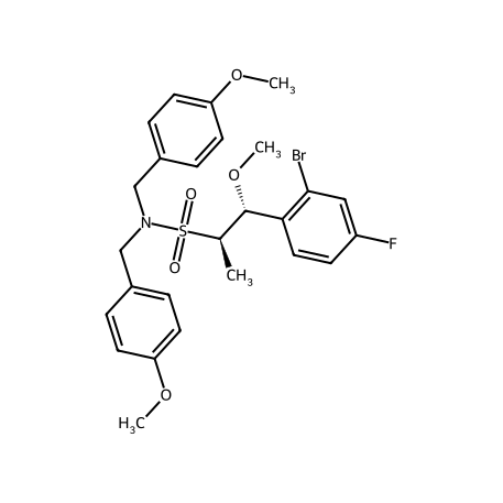 COc1ccc(CN(Cc2ccc(OC)cc2)S(=O)(=O)[C@H](C)[C@H](OC)c2ccc(F)cc2Br)cc1